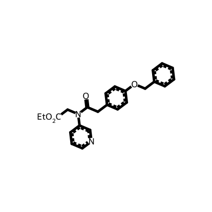 CCOC(=O)CN(C(=O)Cc1ccc(OCc2ccccc2)cc1)c1cccnc1